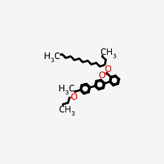 CCCCCCCCCCCC(CCC)OC(=O)c1ccccc1-c1ccc(-c2ccc(C(C)OCCCC)cc2)cc1